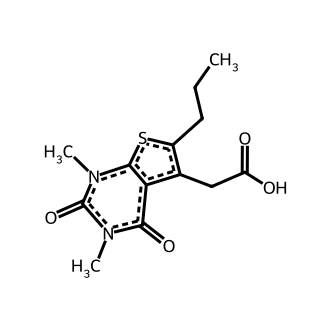 CCCc1sc2c(c1CC(=O)O)c(=O)n(C)c(=O)n2C